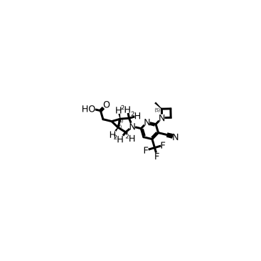 [2H]C1([2H])[C@@H]2C(CC(=O)O)[C@@H]2C([2H])([2H])N1c1cc(C(F)(F)F)c(C#N)c(N2CC[C@@H]2C)n1